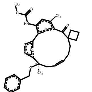 CC(C)(C)OC(=O)Nc1cc(C(F)(F)F)c2nc1-c1nnc(o1)[C@@](OCc1ccccc1)(C(F)(F)F)CC=CCCC1(CCC1)C2=O